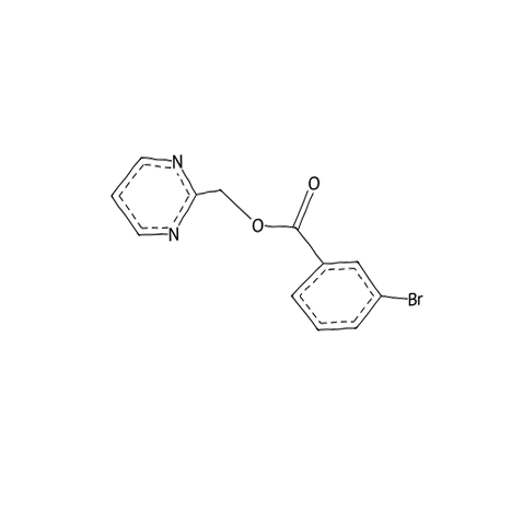 O=C(OCc1ncccn1)c1cccc(Br)c1